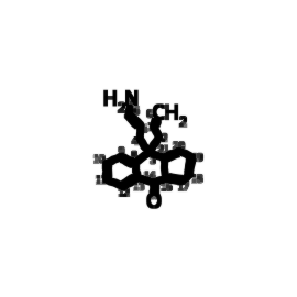 C=CCC1(CC=CN)c2ccccc2C(=O)c2ccccc21